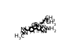 Cc1cncc(-c2ccc(-c3cc4cnc(N)nc4n(CCCN(C)C)c3=O)c(Cl)c2)n1